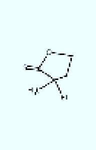 CCC1(C)CCOC1=S